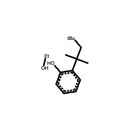 CC(C)(C)CC(C)(C)c1ccccc1O.CCO